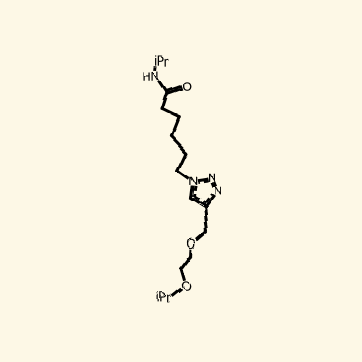 CC(C)NC(=O)CCCCCn1cc(COCCOC(C)C)nn1